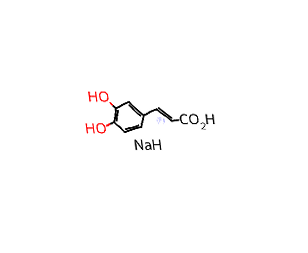 O=C(O)/C=C/c1ccc(O)c(O)c1.[NaH]